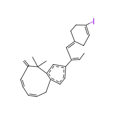 C=C1/C=C\C=C/Cc2ccc(C(/C=C3\CC=C(I)CC3)=C/C)cc2C1(C)C